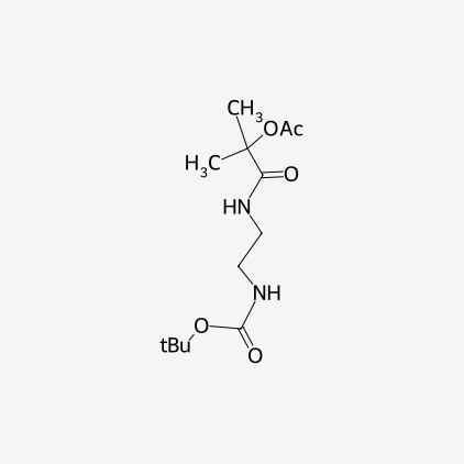 CC(=O)OC(C)(C)C(=O)NCCNC(=O)OC(C)(C)C